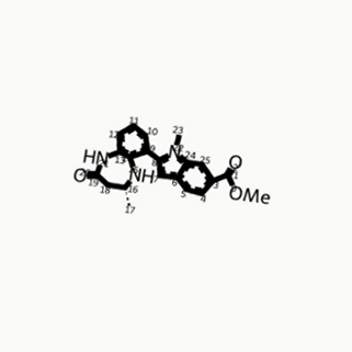 COC(=O)c1ccc2cc(-c3cccc4c3N[C@H](C)CC(=O)N4)n(C)c2c1